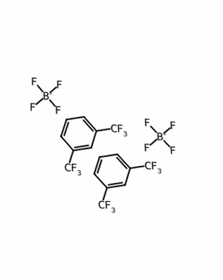 FC(F)(F)c1cccc(C(F)(F)F)c1.FC(F)(F)c1cccc(C(F)(F)F)c1.F[B-](F)(F)F.F[B-](F)(F)F